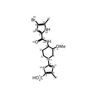 COC1CN(c2nc(C)c(C(=O)O)s2)CCC1NC(=O)c1nc(Br)c(C)[nH]1